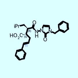 CC(C)C[C@@H](C(=O)Nn1ccn(Cc2ccccc2)c1=O)[C@H](C/C=C/c1ccccc1)C(=O)O